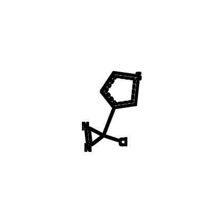 ClC1(c2ccsc2)N=N1